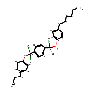 CCCCCCc1ccc(OC(F)(F)c2ccc(C(F)(F)Oc3ccc(CCC)cc3)cc2)cc1